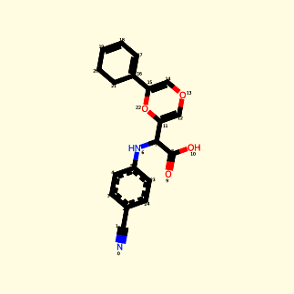 N#Cc1ccc(NC(C(=O)O)C2=COC=C(C3=CC=CCC3)O2)cc1